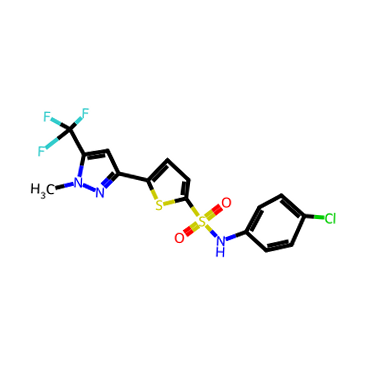 Cn1nc(-c2ccc(S(=O)(=O)Nc3ccc(Cl)cc3)s2)cc1C(F)(F)F